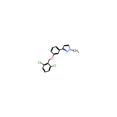 Cn1ccc(-c2cccc(OCc3c(Cl)cccc3Cl)c2)n1